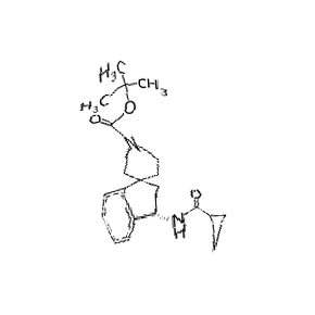 CC(C)(C)OC(=O)N1CCC2(CC1)C[C@H](NC(=O)C1CC1)c1ccccc12